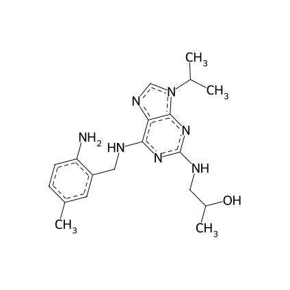 Cc1ccc(N)c(CNc2nc(NCC(C)O)nc3c2ncn3C(C)C)c1